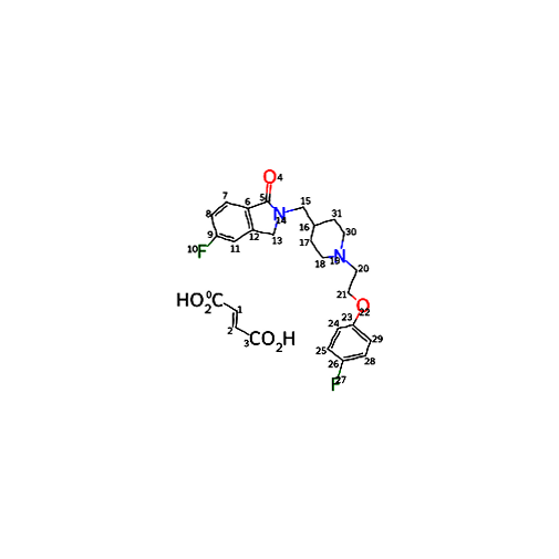 O=C(O)C=CC(=O)O.O=C1c2ccc(F)cc2CN1CC1CCN(CCOc2ccc(F)cc2)CC1